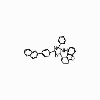 C1=CC(C2=NC(C3=CCCc4oc5ccccc5c43)NC(c3ccccc3)=N2)CC=C1c1ccc2ccccc2c1